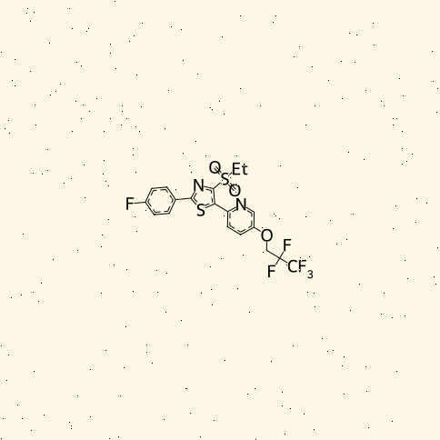 CCS(=O)(=O)c1nc(-c2ccc(F)cc2)sc1-c1ccc(OCC(F)(F)C(F)(F)F)cn1